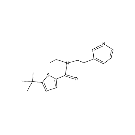 CCN(CCc1cccnc1)C(=O)c1ccc(C(C)(C)C)s1